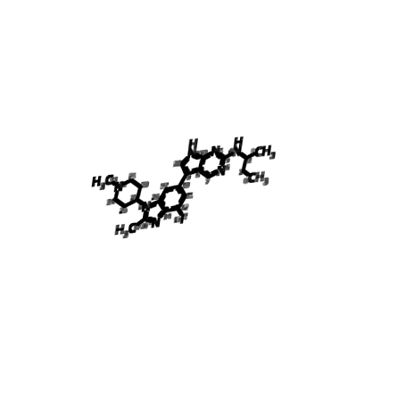 CCC(C)Nc1ncc2c(-c3cc(F)c4nc(C)n(C5CCN(C)CC5)c4c3)c[nH]c2n1